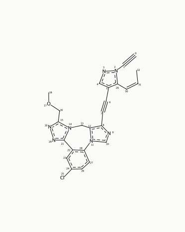 C#Cn1ncc(C#Cc2ncn3c2Cn2c(COC)nnc2-c2cc(Cl)ccc2-3)c1/C=C\C